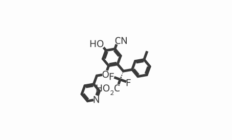 Cc1cccc([C@@H](c2cc(C#N)c(O)cc2OCc2cccnc2)C(F)(F)C(=O)O)c1